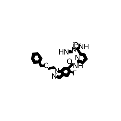 CC(C)N(C=N)C(=N)c1cccc(NC(=O)c2cc3c(cnn3CCOCc3ccccc3)cc2F)n1